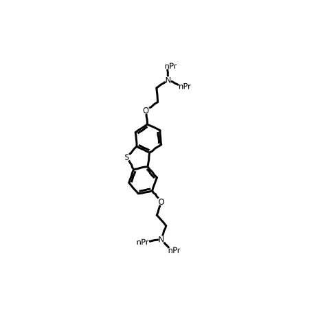 CCCN(CCC)CCOc1ccc2c(c1)sc1ccc(OCCN(CCC)CCC)cc12